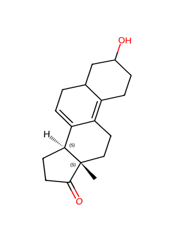 C[C@]12CCC3=C4CCC(O)CC4CC=C3[C@@H]1CCC2=O